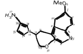 COc1ccc2ncc3c(c2c1)CC(n1ccc(N)c1)CO3